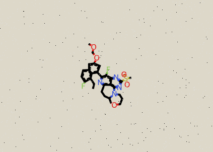 CCc1c(F)ccc2cc(OCOC)cc(-c3nc4c5c(nc(S(C)(=O)=O)nc5c3F)N3CCCOCC3CC4)c12